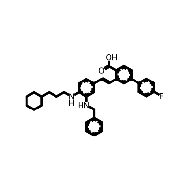 O=C(O)c1ccc(-c2ccc(F)cc2)cc1C=Cc1ccc(NCCCC2CCCCC2)c(NCc2ccccc2)c1